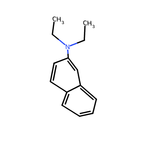 CCN(CC)c1ccc2ccccc2c1